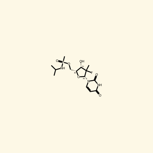 CC(C)NP(C)(=O)OC[C@H]1O[C@@H](n2ccc(=O)[nH]c2=O)C(C)(F)[C@H]1O